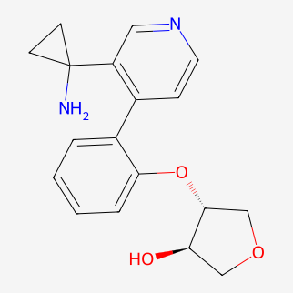 NC1(c2cnccc2-c2ccccc2O[C@@H]2COC[C@H]2O)CC1